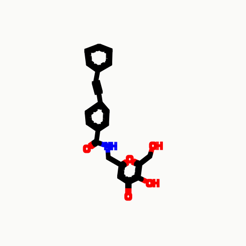 O=C(NCc1cc(=O)c(O)c(CO)o1)c1ccc(C#Cc2ccccc2)cc1